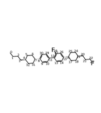 CCCC[C@H]1CC[C@H](c2ccc(-c3ccc([C@H]4CC[C@H](CCCF)CC4)cc3F)cc2)CC1